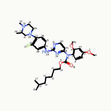 COc1ccc(N(C(=O)OCCCCCC(C)C)c2ccnc(Nc3ccc(N4CCN(C)C(C)C4)c(F)c3)n2)c(OC)c1